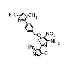 CC(C)n1ncc(Cl)c1-c1nc(N)c([N+](=O)[O-])c(OCc2ccc(-c3nc(C(F)(F)F)cn3C)cc2)n1